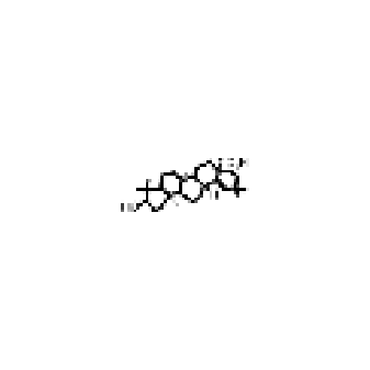 CC1(C)C=C2[C@H]3CCC4[C@@]5(C)CCC(O)C(C)(C)C5CC[C@@]4(C)[C@@]3(C)CC[C@@]2(C(=O)O)CC1